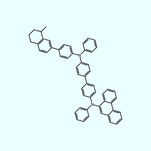 CC1CCCc2ccc(-c3ccc(N(c4ccccc4)c4ccc(-c5ccc(N(c6ccccc6)c6cc7ccccc7c7ccccc67)cc5)cc4)cc3)cc21